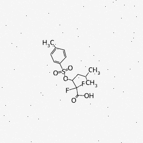 Cc1ccc(S(=O)(=O)OC(CC(C)C)C(F)(F)C(=O)O)cc1